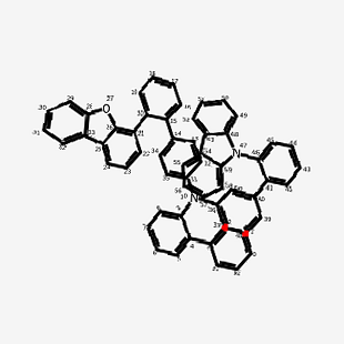 c1ccc(-c2ccccc2N(c2ccc(-c3ccccc3-c3cccc4c3oc3ccccc34)cc2)c2cccc(-c3ccccc3-n3c4ccccc4c4ccccc43)c2)cc1